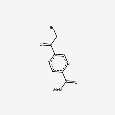 CNC(=O)c1cnc(C(=O)CBr)cn1